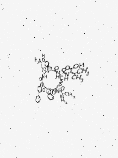 CC(C)[C@H](NC(=O)[C@@H]1CSSC[C@H](NC(=O)[C@H](C)N)C(=O)N[C@@H](Cc2ccccc2)C(=O)N[C@@H](Cc2ccc(-c3ccccc3)cc2)C(=O)N[C@@H](CCCCN)C(=O)N[C@@H](Cc2ccc(O)cc2)C(=O)N1)C(=O)O